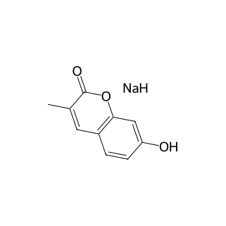 Cc1cc2ccc(O)cc2oc1=O.[NaH]